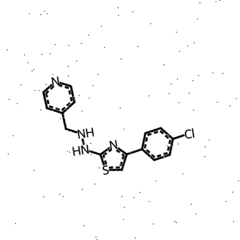 Clc1ccc(-c2csc(NNCc3ccncc3)n2)cc1